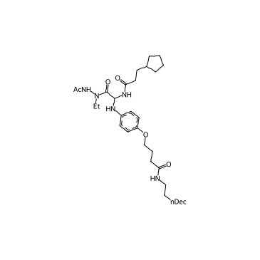 CCCCCCCCCCCCNC(=O)CCCOc1ccc(NC(NC(=O)CCC2CCCC2)C(=O)N(CC)NC(C)=O)cc1